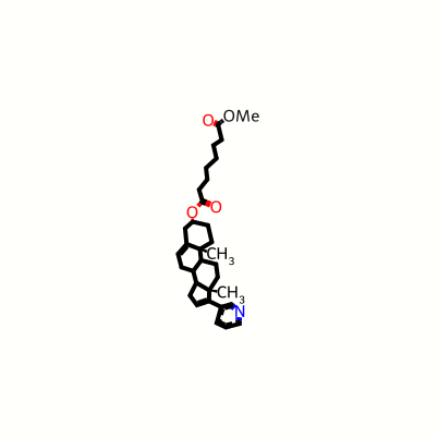 COC(=O)CCCCCCC(=O)O[C@H]1CC[C@@]2(C)C(=CCC3C2CC[C@]2(C)C(c4cccnc4)=CCC32)C1